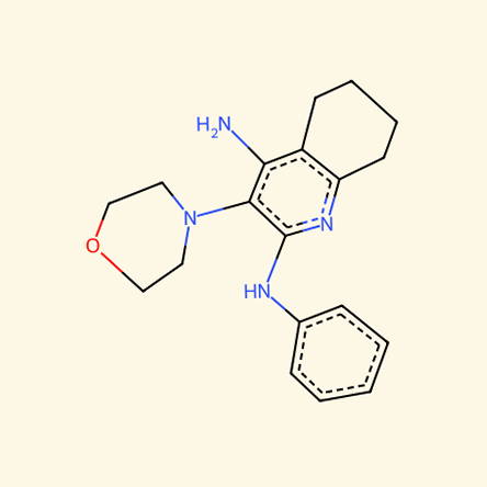 Nc1c2c(nc(Nc3ccccc3)c1N1CCOCC1)CCCC2